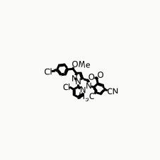 COC(c1ccc(Cl)cc1)c1cc(-c2nc3c(C)cc(C#N)cc3c(=O)o2)n(-c2ncccc2Cl)n1